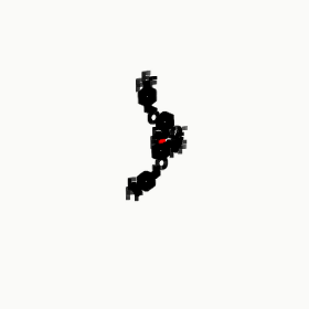 [O-][S+](C(c1cccc(OCCc2ccc(C(F)(F)F)cc2)c1)C(F)(F)F)C(c1cccc(OCCc2ccc(C(F)(F)F)cc2)c1)C(F)(F)F